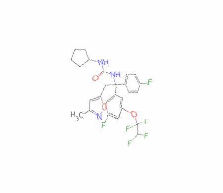 Cc1cc(CC(NC(=O)NC2CCCC2)(c2ccc(F)cc2)c2cc(F)cc(OC(F)(F)C(F)F)c2)on1